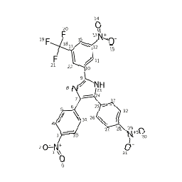 O=[N+]([O-])c1ccc(-c2nc(-c3cc([N+](=O)[O-])cc(C(F)(F)F)c3)[nH]c2-c2ccc([N+](=O)[O-])cc2)cc1